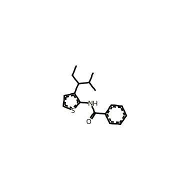 CCC(c1ccsc1NC(=O)c1ccccc1)C(C)C